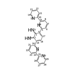 N=C1C(=N)C(c2cccc(-c3ccccn3)n2)=CC=C1c1cccc(-c2ccccn2)n1